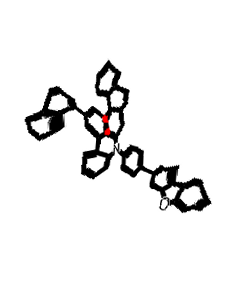 c1cc(-c2ccccc2N(c2ccc(-c3ccc4c(c3)oc3ccccc34)cc2)c2ccc3c(ccc4ccccc43)c2)cc(-c2cccc3ccccc23)c1